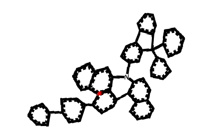 c1ccc(-c2ccc(-c3ccc(-c4c(N(c5ccc6c(c5)C(c5ccccc5)(c5ccccc5)c5ccccc5-6)c5ccc6ccccc6c5)ccc5ccccc45)cc3)cc2)cc1